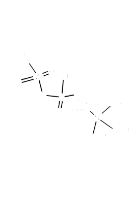 CCCCCCCC[N+](CCCCCCCC)(CCCCCCCC)CCCCCCCC.O=P(O)(O)[O][W](=[O])(=[O])[O-]